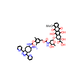 COc1cccc2c1C(=O)c1c(O)c3c(c(O)c1C2=O)C[C@@](O)(C(=O)CO)C[C@@H]3O[C@H]1CC(NC(=O)OCc2cc(C)c(OC(=O)NC3CCC4C(c5ccccn5)=NN=C(c5ccccn5)C4CCC3N)c(C)c2)[C@H](O)C(C)O1